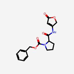 O=C1C=C(NC(=O)C2CCCN2C(=O)OCc2ccccc2)CO1